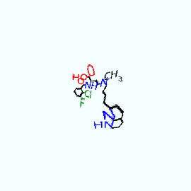 CN(CCCCc1ccc2c(n1)NCCC2)CCC(NC(=O)c1cccc(F)c1Cl)C(=O)O